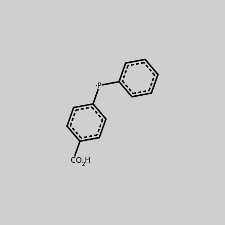 O=C(O)c1ccc([P]c2ccccc2)cc1